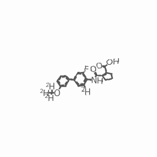 [2H]c1cc(-c2cccc(OC([2H])([2H])[2H])c2)cc(F)c1NC(=O)C1=C(C(=O)O)CCC1